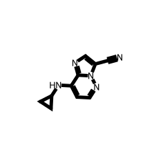 N#Cc1cnc2c(NC3CC3)ccnn12